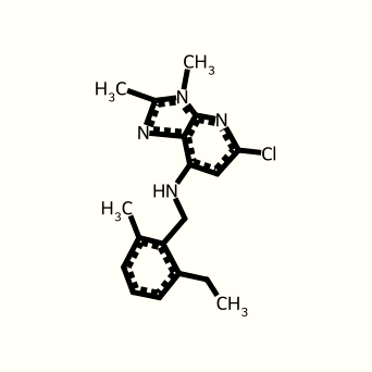 CCc1cccc(C)c1CNc1cc(Cl)nc2c1nc(C)n2C